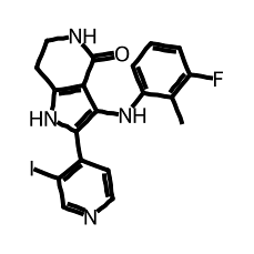 Cc1c(F)cccc1Nc1c(-c2ccncc2I)[nH]c2c1C(=O)NCC2